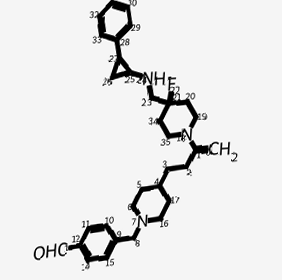 C=C(CCC1CCN(Cc2ccc(C=O)cc2)CC1)N1CCC(F)(CNC2CC2c2ccccc2)CC1